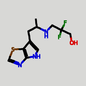 CC(Cc1c[nH]c2ncsc12)NCC(F)(F)CO